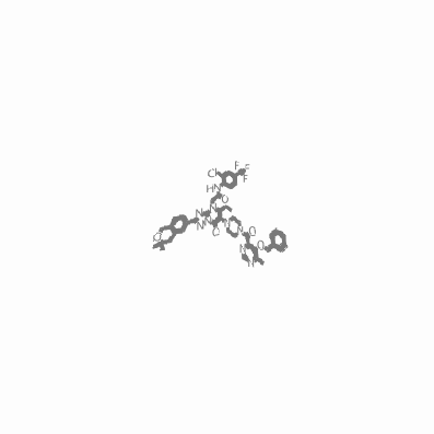 CCc1c(N2CCN(C(=O)c3ncnc(C)c3OCc3ccccc3)CC2)c(=O)n2nc(-c3ccc4c(c3)CC(C)(C)OC4)nc2n1CC(=O)Nc1ccc(C(F)(F)F)cc1Cl